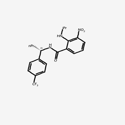 CCC[C@H](NC(=O)c1cccc([N+](=O)[O-])c1NC(C)C)c1ccc(C(F)(F)F)cc1